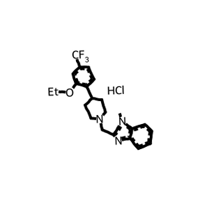 CCOc1cc(C(F)(F)F)ccc1C1CCN(Cc2nc3ccccc3n2C)CC1.Cl